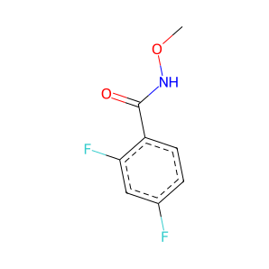 CONC(=O)c1ccc(F)cc1F